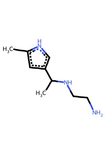 Cc1cc(C(C)NCCN)c[nH]1